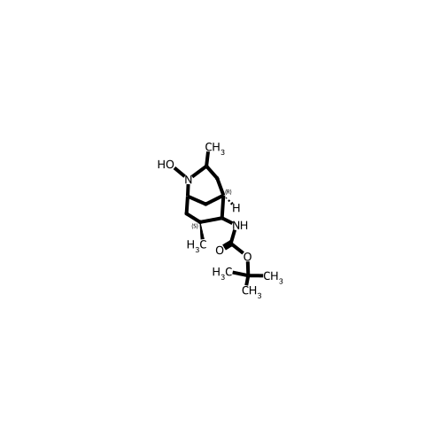 CC1C[C@@H]2CC(C[C@H](C)C2NC(=O)OC(C)(C)C)N1O